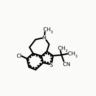 CN1CCc2c(Cl)ccc3sc(C(C)(C)C#N)c(c23)C1